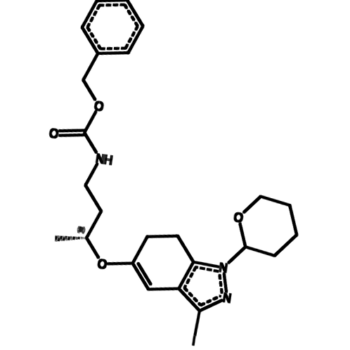 C[C@H](CCNC(=O)OCc1ccccc1)OC1=Cc2c(I)nn(C3CCCCO3)c2CC1